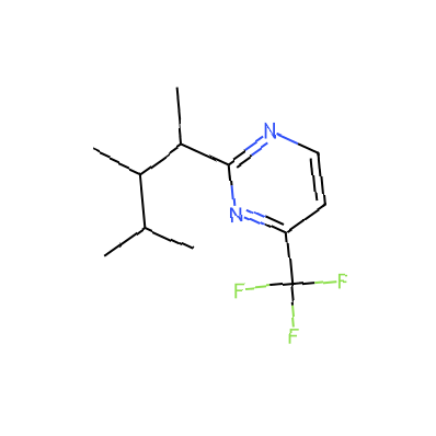 CC(C)C(C)C(C)c1nccc(C(F)(F)F)n1